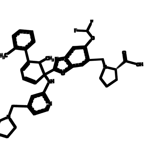 Cc1ccccc1C1=CC=CC(Nc2cc(CN3CCCC3)ccn2)(c2nc3cc(OC(F)F)c(CN4CCC[C@H]4C(=O)O)cc3o2)C1C